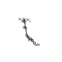 C=C(C)C(=O)OCCCCC(=O)OCCCCCCOc1ccc(C(=O)Oc2ccc(C3CCC(CCC)CC3)cc2)cc1